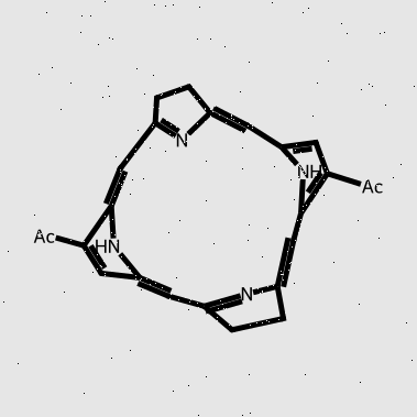 CC(=O)c1cc2cc3nc(cc4[nH]c(cc5nc(cc1[nH]2)CC5)cc4C(C)=O)CC3